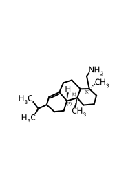 CC(C)C1C=C2CCC3[C@@](C)(CN)CCC[C@]3(C)[C@@H]2CC1